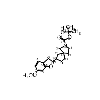 COc1ccc2c(c1)ON(C1CCC3(CCN(C(=O)OC(C)(C)C)C3)C1)C2